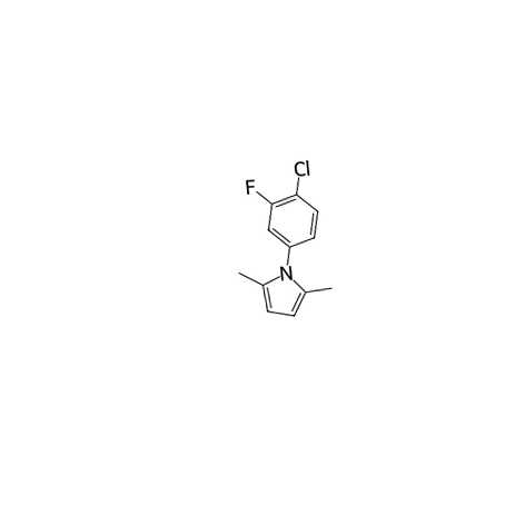 Cc1ccc(C)n1-c1ccc(Cl)c(F)c1